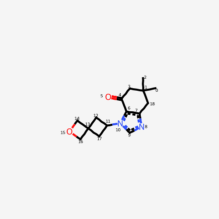 CC1(C)CC(=O)c2c(ncn2C2CC3(COC3)C2)C1